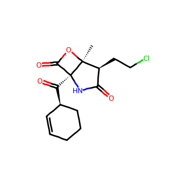 C[C@@]12OC(=O)[C@]1(C(=O)[C@@H]1C=CCCC1)NC(=O)[C@@H]2CCCl